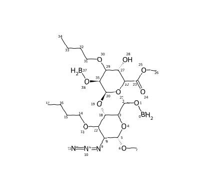 BOCC1O[C@H](OC)C(N=[N+]=[N-])C(OCCCC)[C@@H]1O[C@@H]1OC(C(=O)OC)[C@@H](O)C(OCCCC)[C@@H]1OB